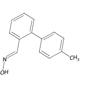 Cc1ccc(-c2ccccc2C=NO)cc1